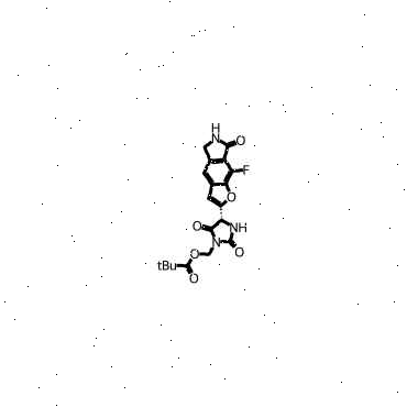 CC(C)(C)C(=O)OCN1C(=O)N[C@@H](c2cc3cc4c(c(F)c3o2)C(=O)NC4)C1=O